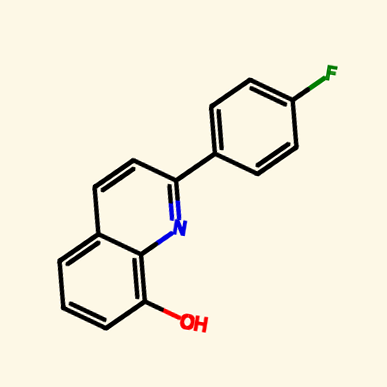 Oc1cccc2ccc(-c3ccc(F)cc3)nc12